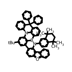 CC(C)(C)c1cc2c3c(c1)N1c4ccccc4C(c4ccccc4)(c4ccccc4)c4cccc(c41)B3N(c1ccc3c(c1)C(C)(C)CCC3(C)C)c1c-2ccc2oc3ccccc3c12